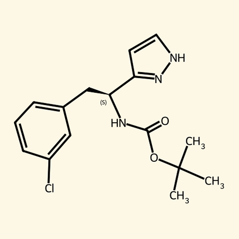 CC(C)(C)OC(=O)N[C@@H](Cc1cccc(Cl)c1)c1cc[nH]n1